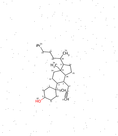 C#CCC1C(C2(C)CCC(O)CC2)CCC2(C)C(C(C)CCCC(C)C)CCC12